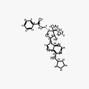 CC(=O)O[C@]1(C)[C@@H](COC(=O)c2ccccc2)O[C@H](n2cnc3c(NC4CCCC4)ncnc32)[C@]1(C)F